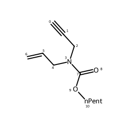 C#CCN(CC=C)C(=O)OCCCCC